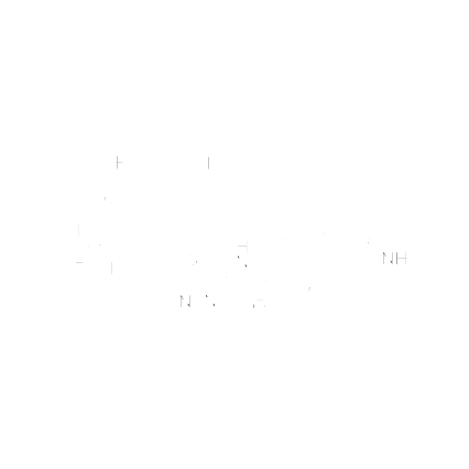 Cl.O=C(Nc1nnc(Cc2ccc(F)cc2C(F)(F)F)s1)c1ccc2c(c1)CCNC2